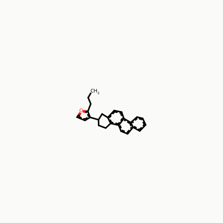 CCCc1occc1C1CCc2c(ccc3c2ccc2ccccc23)C1